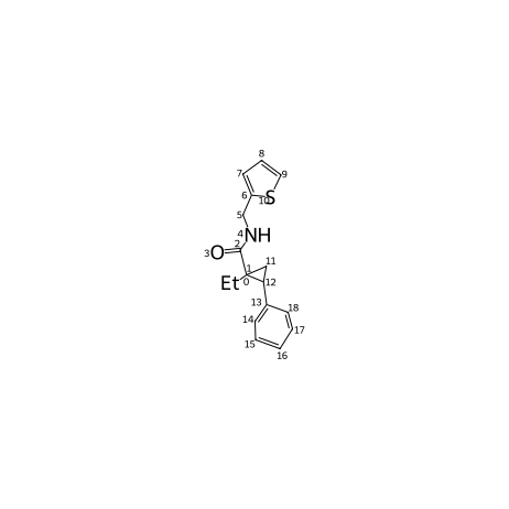 CCC1(C(=O)NCc2cccs2)CC1c1ccccc1